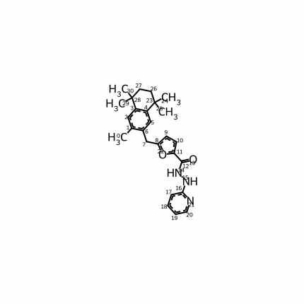 Cc1cc2c(cc1Cc1ccc(C(=O)NNc3ccccn3)o1)C(C)(C)CCC2(C)C